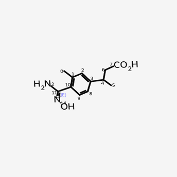 Cc1cc(C(C)CC(=O)O)ccc1/C(N)=N\O